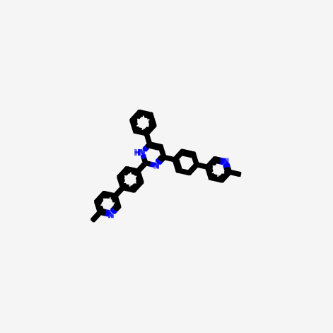 Cc1ccc(-c2ccc(C3N=C(C4=CCC(c5ccc(C)nc5)C=C4)C=C(c4ccccc4)N3)cc2)cn1